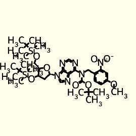 COc1ccc(CN(C(=O)OC(C)(C)C)c2ncnc3c2ncn3[C@H]2CC(O[Si](C)(C)C(C)(C)C)[C@@H](CO[Si](C)(C)C(C)(C)C)O2)c([N+](=O)[O-])c1